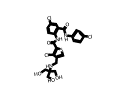 O=C(Nc1ccc(Cl)cc1)c1cc(Cl)ccc1NC(=O)c1scc(CNC(CO)(CO)CO)c1Cl